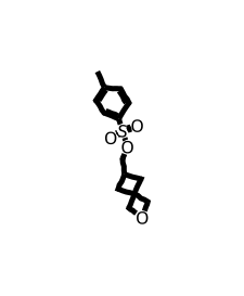 Cc1ccc(S(=O)(=O)OCC2CC3(COC3)C2)cc1